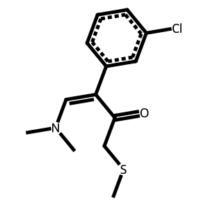 CSCC(=O)C(=CN(C)C)c1cccc(Cl)c1